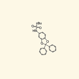 CCCCS(=O)(=O)Nc1ccc2c(c1)OC(c1ccccc1)(c1ccccc1)O2